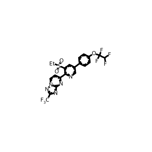 CCS(=O)(=O)c1cc(-c2ccc(OC(F)(F)C(F)F)cc2)cnc1-c1ccn2nc(C(F)(F)F)nc2n1